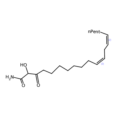 CCCCC/C=C\C/C=C\CCCCCCCC(=O)C(O)C(N)=O